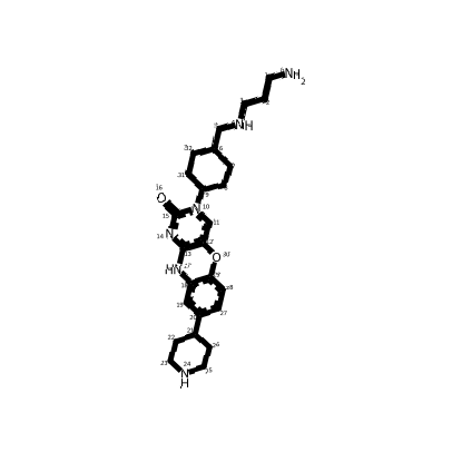 NCCCNCC1CCC(n2cc3c(nc2=O)Nc2cc(C4CCNCC4)ccc2O3)CC1